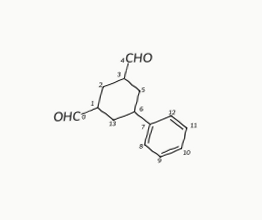 O=CC1CC(C=O)CC(c2ccccc2)C1